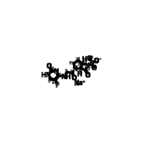 O=C(CNc1nc(=O)[nH]cc1F)N1CC[C@@H]2[C@H]1C(=O)N2S(=O)(=O)[O-].[Na+]